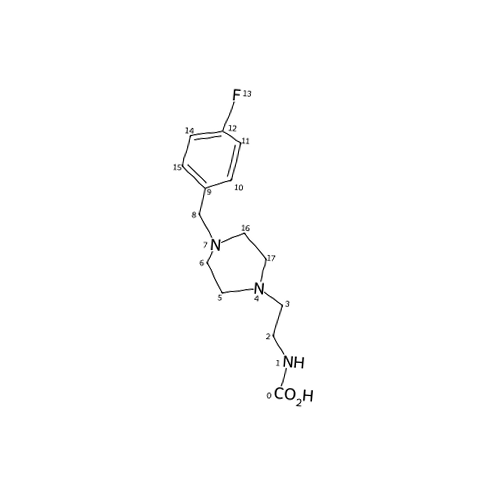 O=C(O)NCCN1CCN(Cc2ccc(F)cc2)CC1